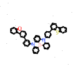 c1cc(-c2ccc3oc4ccccc4c3c2)cc(N2c3ccccc3B3c4ccccc4N(c4ccc(-c5cccc6c5sc5ccccc56)cc4)c4cccc2c43)c1